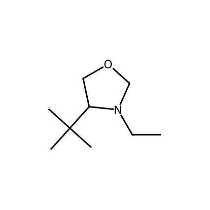 CCN1COCC1C(C)(C)C